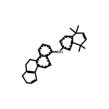 CC1(C)C=CC(C)(C)c2cc(Nc3cccc4c5c(ccc34)C3=C(CCC=C3)CC5)ccc21